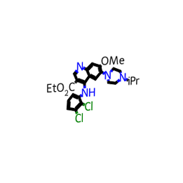 CCOC(=O)c1cnc2cc(OC)c(N3CCN(C(C)C)CC3)cc2c1Nc1cccc(Cl)c1Cl